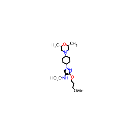 COCCCOc1nn([C@H]2CC[C@H](N3C[C@@H](C)O[C@@H](C)C3)CC2)cc1NC(=O)O